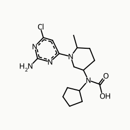 CC1CCC(N(C(=O)O)C2CCCC2)CN1c1cc(Cl)nc(N)n1